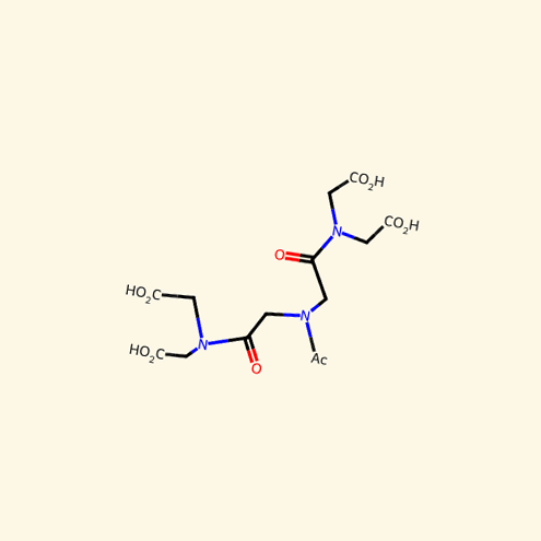 CC(=O)N(CC(=O)N(CC(=O)O)CC(=O)O)CC(=O)N(CC(=O)O)CC(=O)O